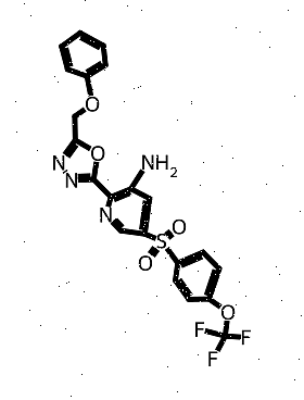 Nc1cc(S(=O)(=O)c2ccc(OC(F)(F)F)cc2)cnc1-c1nnc(COc2ccccc2)o1